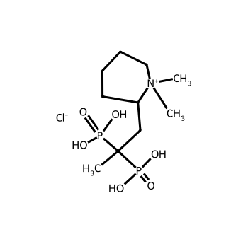 CC(CC1CCCC[N+]1(C)C)(P(=O)(O)O)P(=O)(O)O.[Cl-]